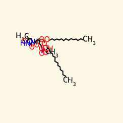 CCCCCCCCCCCCCCCCOC(OCCCCCCCCCCCCCCCC)O[C@@H]1C[C@H](n2cc(C)c(=O)[nH]c2=O)OC1COP(=O)(O)OC